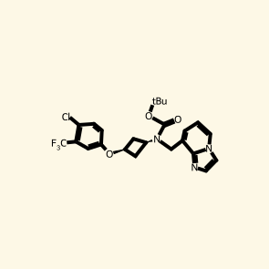 CC(C)(C)OC(=O)N(Cc1cccn2ccnc12)[C@H]1C[C@H](Oc2ccc(Cl)c(C(F)(F)F)c2)C1